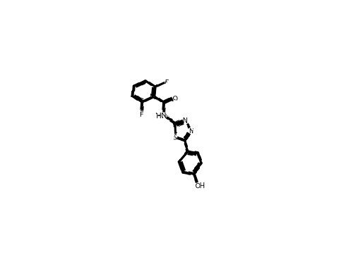 O=C(Nc1nnc(-c2ccc(O)cc2)s1)c1c(F)cccc1F